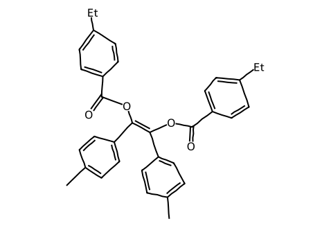 CCc1ccc(C(=O)OC(=C(OC(=O)c2ccc(CC)cc2)c2ccc(C)cc2)c2ccc(C)cc2)cc1